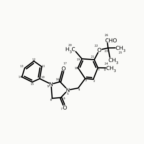 Cc1cc(CN2C(=O)CN(c3ccccc3)C2=O)cc(C)c1OC(C)(C)C=O